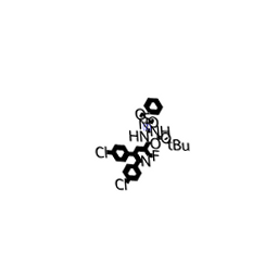 CC(C)(C)OC(=O)N/C(=N\S(=O)(=O)c1ccccc1)NCc1cc(-c2ccc(Cl)cc2)c(-c2ccc(Cl)cc2)nc1F